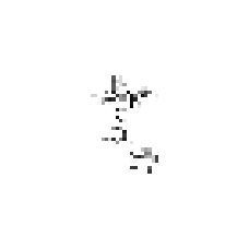 CC(C)COc1cc(F)cc(-c2ccc3c(c2)CC(C)(C)[C@H]3OC(N)=O)c1